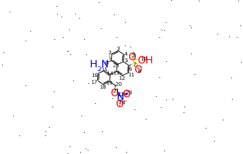 Nc1cccc2c(S(=O)(=O)O)ccc(-c3ccccc3CO[N+](=O)[O-])c12